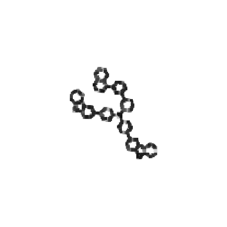 C1=Cc2c(sc3ccc(-c4ccc(N(c5ccc(-c6ccc7oc8ccccc8c7c6)cc5)c5cccc(-c6cccc(-c7cccc8ccccc78)c6)c5)cc4)cc23)CC1